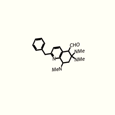 CNC1CC(NC)(NC)C(C=O)c2ccc(Cc3ccccc3)nc21